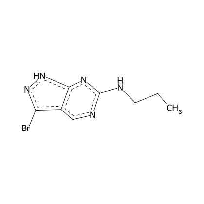 CCCNc1ncc2c(Br)n[nH]c2n1